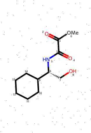 COC(=O)C(=O)N[C@H](CO)C1CCCCC1